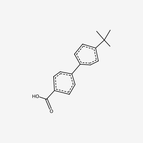 CC(C)(C)c1ccc(-c2ccc(C(=O)O)cc2)cc1